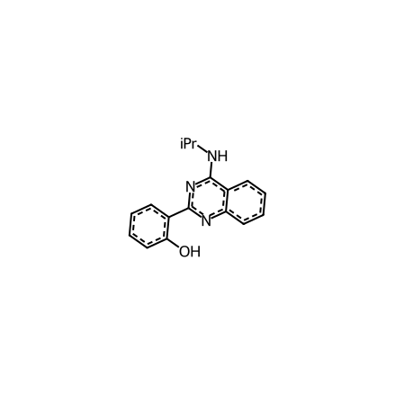 CC(C)Nc1nc(-c2ccccc2O)nc2ccccc12